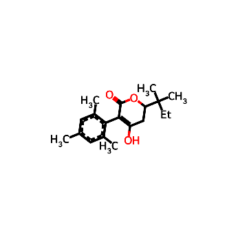 CCC(C)(C)C1CC(O)=C(c2c(C)cc(C)cc2C)C(=O)O1